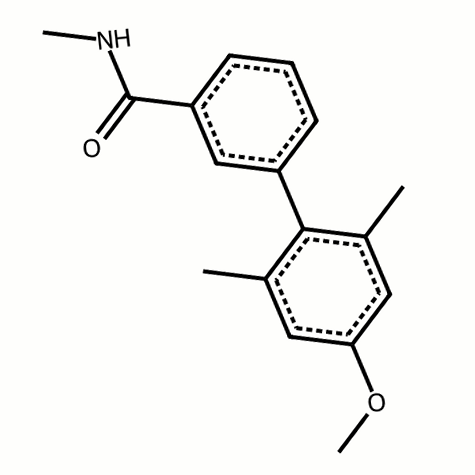 CNC(=O)c1cccc(-c2c(C)cc(OC)cc2C)c1